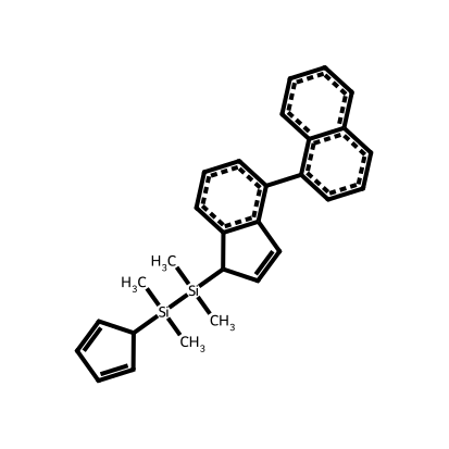 C[Si](C)(C1C=CC=C1)[Si](C)(C)C1C=Cc2c(-c3cccc4ccccc34)cccc21